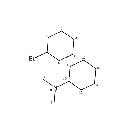 CCC1CCCCC1.CN(C)C1CCCCC1